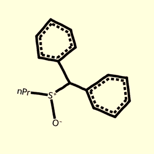 CCC[S+]([O-])C(c1ccccc1)c1ccccc1